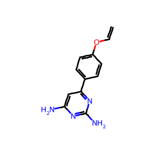 C=COc1ccc(-c2cc(N)nc(N)n2)cc1